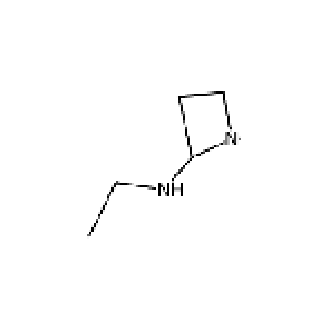 CCNC1CC[N]1